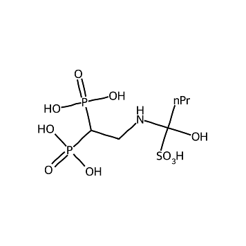 CCCC(O)(NCC(P(=O)(O)O)P(=O)(O)O)S(=O)(=O)O